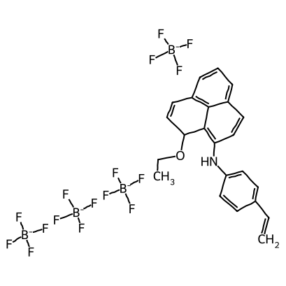 C=Cc1ccc(Nc2ccc3cccc4c3c2C(OCC)C=C4)cc1.F[B-](F)(F)F.F[B-](F)(F)F.F[B-](F)(F)F.F[B-](F)(F)F